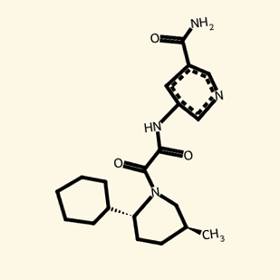 C[C@H]1CC[C@H](C2CCCCC2)N(C(=O)C(=O)Nc2cncc(C(N)=O)c2)C1